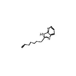 C=CCCCCCc1nc2cccnc2[nH]1